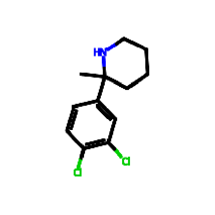 CC1(c2ccc(Cl)c(Cl)c2)CCCCN1